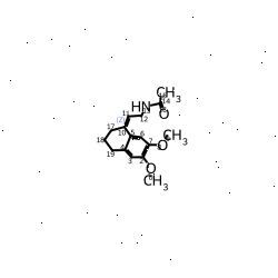 COc1cc2c(cc1OC)/C(=C\CNC(C)=O)CCC2